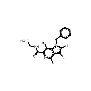 Cc1nc(C(=O)NCC(=O)O)c(O)c2c1c(Cl)c(Cl)n2Cc1ccccc1